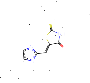 O=C1NC(=S)SC1=Cc1ncc[nH]1